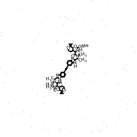 COC(=O)NC(C(=O)N(C)[C@@H](C)c1nc2ccc(C#Cc3ccc4[nH]c([C@H](C)N(C)C(=O)C(C5CCOC6(CC6)C5)N(C)C(=O)O)nc4c3)cc2[nH]1)C1CCOC2(CC2)C1